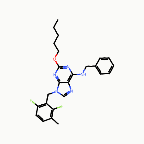 CCCCCOc1nc(NCc2ccccc2)c2ncn(Cc3c(F)ccc(C)c3F)c2n1